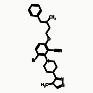 CN(CCOc1ccc(Br)c(N2CCC(c3nncn3C)CC2)c1C#N)Cc1ccccc1